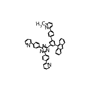 Cc1cccc(-c2ccc(-c3cc(-c4nc(-c5ccc(-c6ccccn6)cc5)nc(-c5ccc(-c6ccccn6)cc5)n4)cc(-c4c5ccccc5cc5ccccc45)c3)cc2)n1